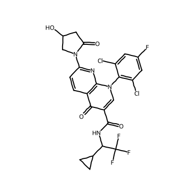 O=C(NC(C1CC1)C(F)(F)F)c1cn(-c2c(Cl)cc(F)cc2Cl)c2nc(N3CC(O)CC3=O)ccc2c1=O